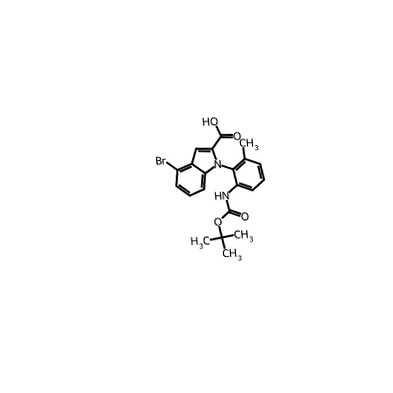 Cc1cccc(NC(=O)OC(C)(C)C)c1-n1c(C(=O)O)cc2c(Br)cccc21